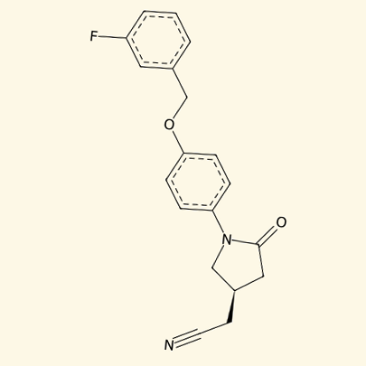 N#CC[C@@H]1CC(=O)N(c2ccc(OCc3cccc(F)c3)cc2)C1